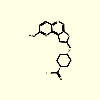 COc1ccc2ncc3c(c2n1)CC(C[C@H]1CC[C@H](C(N)=O)CC1)O3